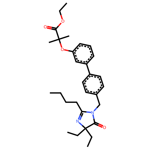 CCCCC1=NC(CC)(CC)C(=O)N1Cc1ccc(-c2cccc(OC(C)(C)C(=O)OCC)c2)cc1